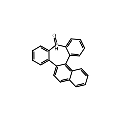 O=[PH]1c2ccccc2-c2ccc3ccccc3c2-c2ccccc21